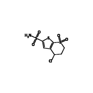 NS(=O)(=O)c1cc2c(s1)S(=O)(=O)CCC2Cl